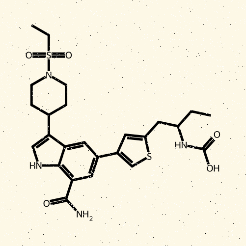 CCC(Cc1cc(-c2cc(C(N)=O)c3[nH]cc(C4CCN(S(=O)(=O)CC)CC4)c3c2)cs1)NC(=O)O